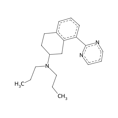 CCCN(CCC)C1CCc2cccc(-c3ncccn3)c2C1